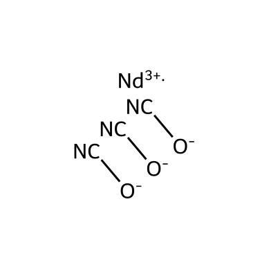 N#C[O-].N#C[O-].N#C[O-].[Nd+3]